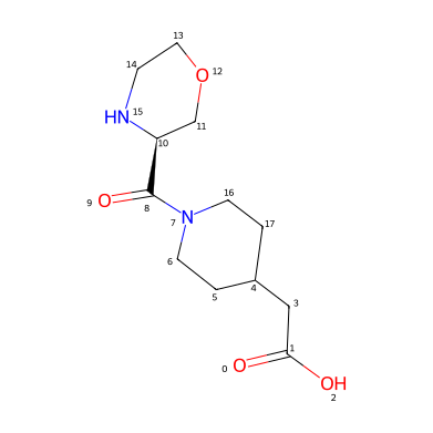 O=C(O)CC1CCN(C(=O)[C@@H]2COCCN2)CC1